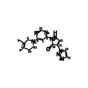 CC1=C(C)CN(c2cc(-n3[nH]cc(-n4ccnn4)c3=O)ncn2)CC1